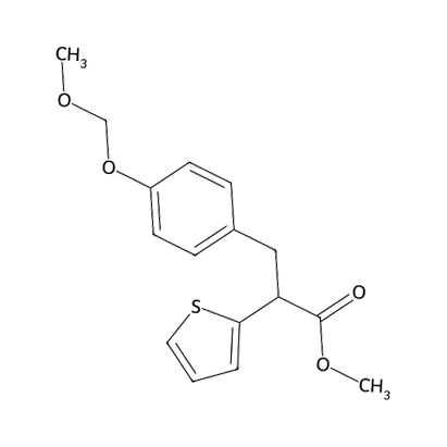 COCOc1ccc(CC(C(=O)OC)c2cccs2)cc1